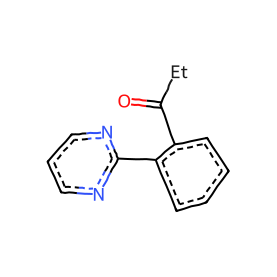 CCC(=O)c1ccccc1-c1ncccn1